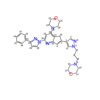 C1=C(c2cnn(CCCN3CCOCC3)c2)Cc2c(N3CCOCC3)cc(-n3ccc(-c4ccccc4)n3)nc21